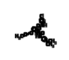 CCOCCOc1cccc2c1nc(C(=O)NC1CCN(C(C)C)CC1)n2CC(=O)Nc1ccc(Cl)cn1